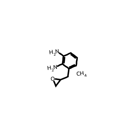 C.Nc1cccc(CC2CO2)c1N